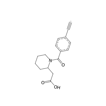 [C]#Cc1ccc(C(=O)N2CCCCC2CC(=O)O)cc1